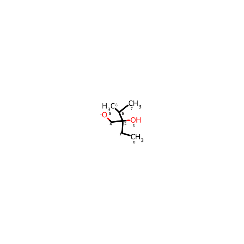 CCC(O)(C[O])C(C)C